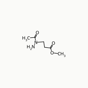 COC(=O)CCN(N)C(C)=O